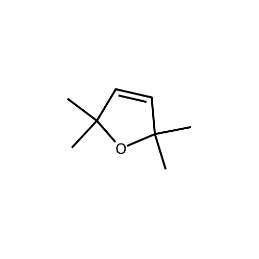 CC1(C)C=CC(C)(C)O1